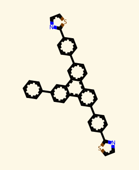 c1ccc(-c2ccc3c4cc(-c5ccc(-c6nccs6)cc5)ccc4c4ccc(-c5ccc(-c6nccs6)cc5)cc4c3c2)cc1